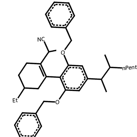 CCCCCC(C)C(C)c1cc(OCc2ccccc2)c(C2=C(C(C)C#N)CCC(CC)C2)c(OCc2ccccc2)c1